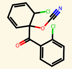 N#COC1(C(=O)c2ccccc2Cl)C=CC=CC1Cl